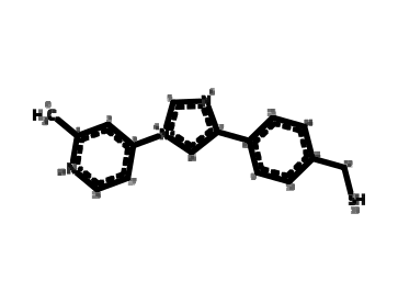 Cc1cc(-n2cnc(-c3ccc(CS)cc3)c2)ccn1